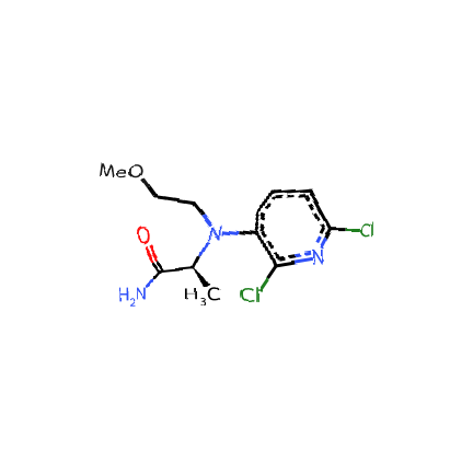 COCCN(c1ccc(Cl)nc1Cl)[C@@H](C)C(N)=O